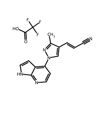 Cc1nn(-c2ccnc3[nH]ccc23)cc1C=CC#N.O=C(O)C(F)(F)F